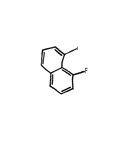 Fc1cccc2cccc(I)c12